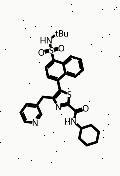 CC(C)(C)NS(=O)(=O)c1ccc(-c2sc(C(=O)NC3CCCCC3)nc2Cc2cccnc2)c2ccccc12